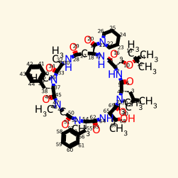 CC(C)C[C@H]1C(=O)N[C@@H](COC(C)(C)C)C(=O)N[C@H](C(=O)N2CCCCC2)CC(=O)N[C@@H](C)C(=O)N(C)[C@@H](Cc2ccccc2)C(=O)N(C)CC(=O)N(C)[C@@H](Cc2ccccc2)C(=O)N[C@@H]([C@@H](C)O)C(=O)N1C